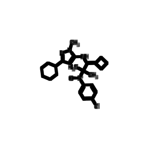 Cn1nc(C2CCCCC2)cc1NC(=C1CCC1)C(C)(C)[S+]([O-])c1ccc(Cl)cc1